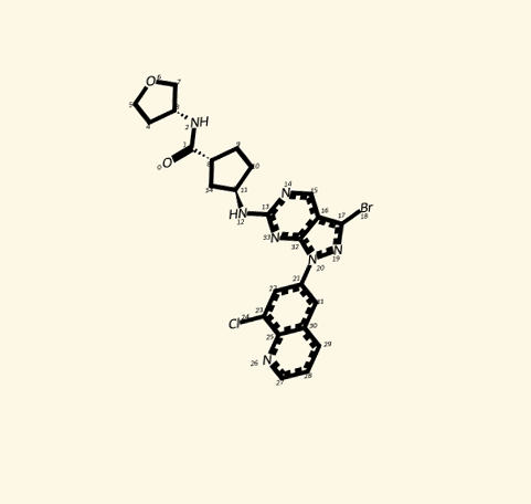 O=C(N[C@@H]1CCOC1)[C@@H]1CC[C@@H](Nc2ncc3c(Br)nn(-c4cc(Cl)c5ncccc5c4)c3n2)C1